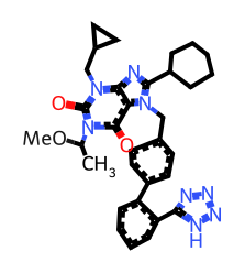 COC(C)n1c(=O)c2c(nc(C3CCCCC3)n2Cc2ccc(-c3ccccc3-c3nnn[nH]3)cc2)n(CC2CC2)c1=O